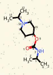 CC(C)NC(=O)OC1CCN(C(C)C)CC1